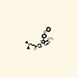 Cc1ncnc2c1c(-c1ccc(Oc3ccccc3)cc1)nn2[C@@H]1CCN(C(=O)/C=C/CN(C2CC2)C2CC2)C1